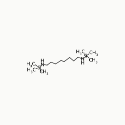 C[Si](C)(C)NCCCCCCCCN[Si](C)(C)C